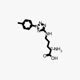 Cc1ccc(-n2nnc(NCCC[C@H](N)C(=O)O)n2)cc1